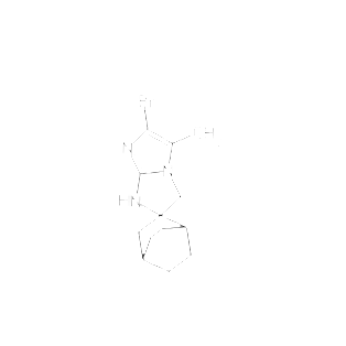 Cc1c(Br)nc2n1CC1(CC3CCC1CC3)N2